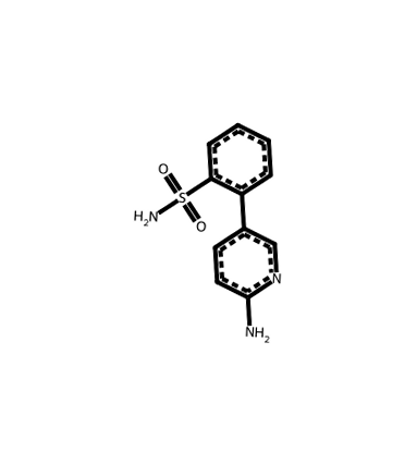 Nc1ccc(-c2ccccc2S(N)(=O)=O)cn1